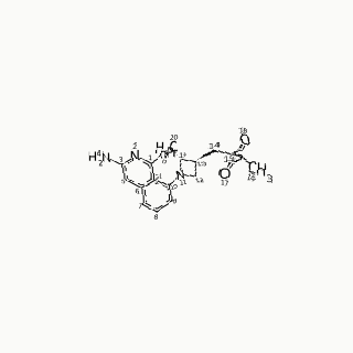 CCCc1nc(N)cc2cccc(N3C[C@H](CS(C)(=O)=O)[C@H]3C)c12